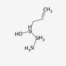 C=CC[SiH](O)[SiH2][SiH3]